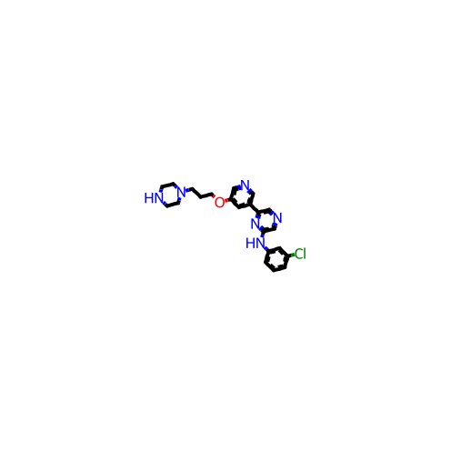 Clc1cccc(Nc2cncc(-c3cncc(OCCCN4CCNCC4)c3)n2)c1